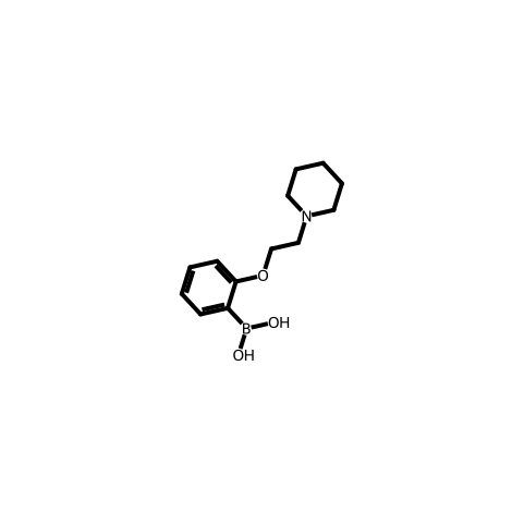 OB(O)c1ccccc1OCCN1CCCCC1